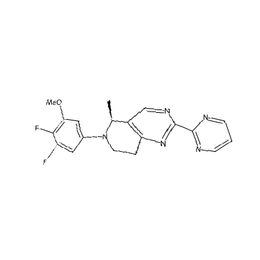 COc1cc(N2CCc3nc(-c4ncccn4)ncc3[C@@H]2C)cc(F)c1F